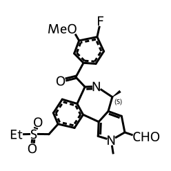 CCS(=O)(=O)Cc1ccc2c(c1)C1=CN(C)C(C=O)C=C1[C@H](C)N=C2C(=O)c1ccc(F)c(OC)c1